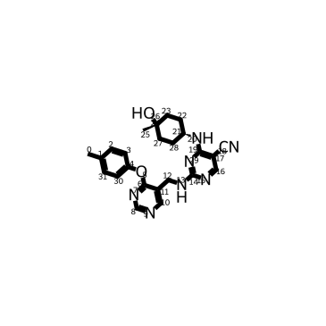 Cc1ccc(Oc2ncncc2CNc2ncc(C#N)c(N[C@H]3CC[C@@](C)(O)CC3)n2)cc1